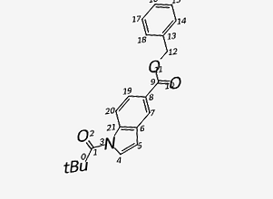 CC(C)(C)C(=O)n1ccc2cc(C(=O)OCc3ccccc3)ccc21